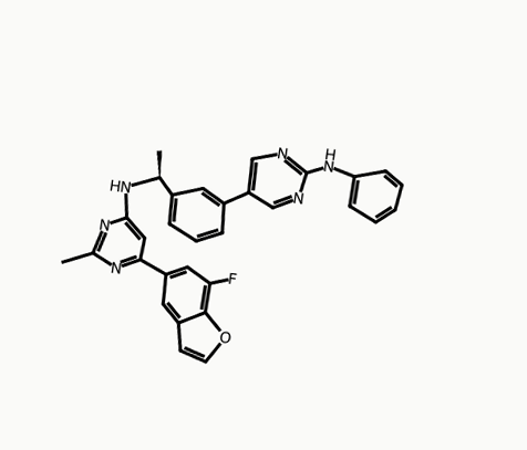 Cc1nc(N[C@@H](C)c2cccc(-c3cnc(Nc4ccccc4)nc3)c2)cc(-c2cc(F)c3occc3c2)n1